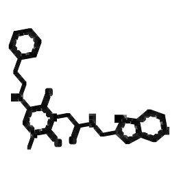 Cn1cc(NCCc2ccccc2)c(=O)n(CC(=O)NCc2cc3cnccc3[nH]2)c1=O